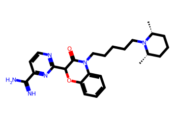 C[C@@H]1CCC[C@H](C)N1CCCCCN1C(=O)C(c2nccc(C(=N)N)n2)Oc2ccccc21